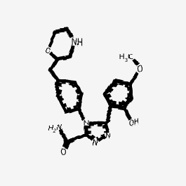 COc1ccc(-c2nnc(C(N)=O)n2-c2ccc(CC3CNCCO3)cc2)c(O)c1